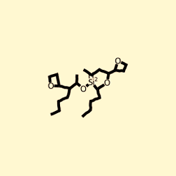 CCCCC(OC(CCC)C1CCO1)[SiH2]OC(C)C(CCCC)C1CCO1